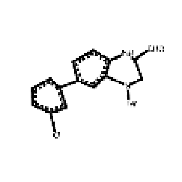 CC(C)N1CC(C=O)Nc2ccc(-c3cccc(Cl)c3)cc21